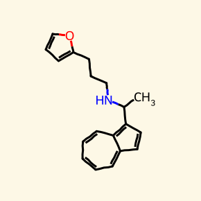 CC(NCCCc1ccco1)c1ccc2cccccc1-2